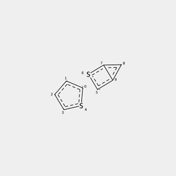 [c]1cccs1.[c]1sc2cc1-2